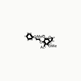 COc1c(C(C)=O)c(OCCOc2ccccc2)c(OC)c2occc12